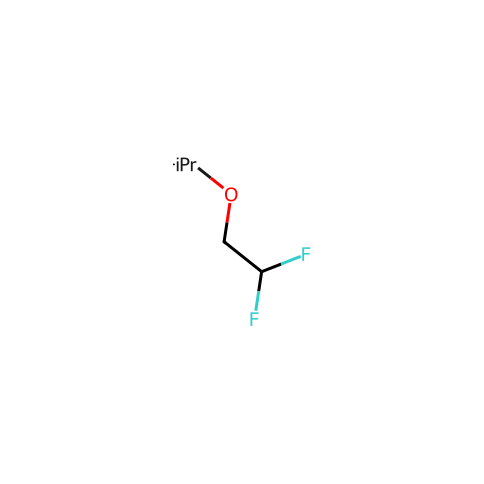 C[C](C)OCC(F)F